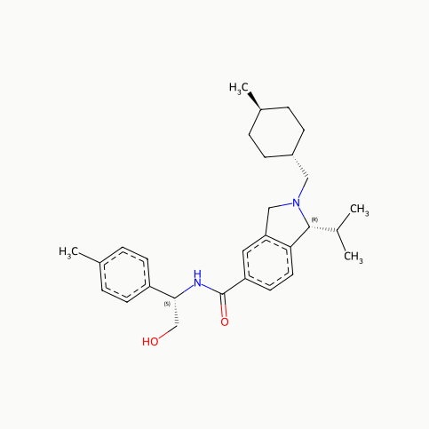 Cc1ccc([C@@H](CO)NC(=O)c2ccc3c(c2)CN(C[C@H]2CC[C@H](C)CC2)[C@@H]3C(C)C)cc1